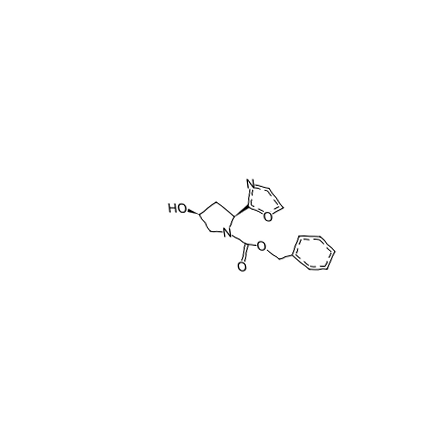 O=C(OCc1ccccc1)N1C[C@@H](O)C[C@H]1c1ncco1